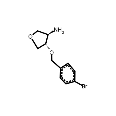 N[C@@H]1COC[C@H]1OCc1ccc(Br)cc1